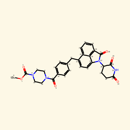 CC(C)(C)OC(=O)N1CCN(C(=O)c2ccc(Cc3ccc4c5c(cccc35)C(=O)N4C3CCC(=O)NC3=O)cc2)CC1